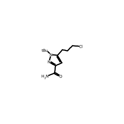 CC(C)(C)n1nc(C(N)=O)cc1CCCCl